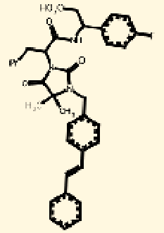 CC(C)CC(C(=O)NC(CC(=O)O)c1ccc(F)cc1)N1C(=O)N(Cc2ccc(C=Cc3ccccc3)cc2)C(C)(C)C1=O